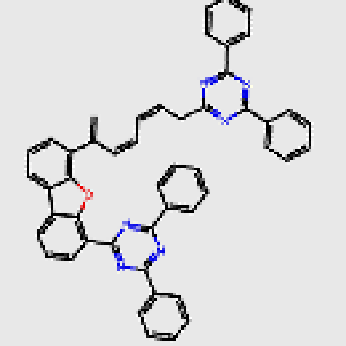 C=C(/C=C\C=C/Cc1nc(-c2ccccc2)nc(-c2ccccc2)n1)c1cccc2c1oc1c(-c3nc(-c4ccccc4)nc(-c4ccccc4)n3)cccc12